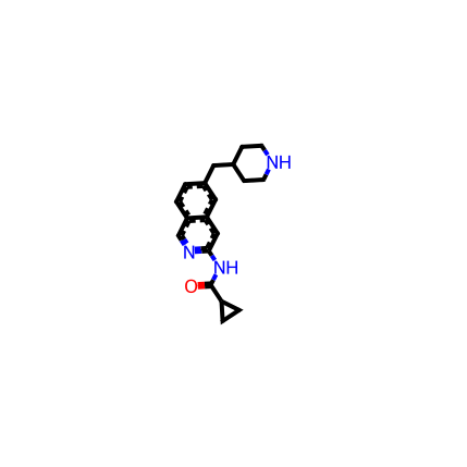 O=C(Nc1cc2cc(CC3CCNCC3)ccc2cn1)C1CC1